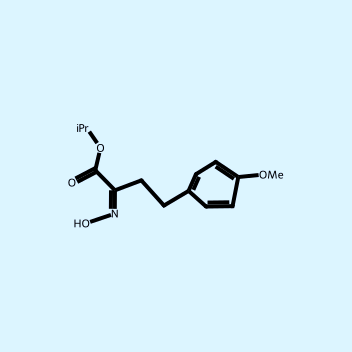 COc1ccc(CCC(=NO)C(=O)OC(C)C)cc1